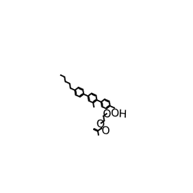 C=C(C)C(=O)OCCOc1cc(-c2ccc(-c3ccc(CCCCC)cc3)cc2C)ccc1CO